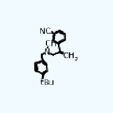 C=C(CN(C)Cc1ccc(C(C)(C)C)cc1)c1cccc(C#N)c1